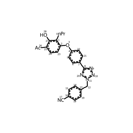 CCCc1c(Oc2ccc(-c3nnn(Cc4ccc(C#N)cc4)n3)cc2)ccc(C(C)=O)c1O